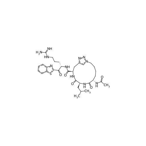 CC(=O)N[C@H]1CCCCn2cc(nn2)C[C@H](C(=O)N[C@@H](CCCNC(=N)N)C(=O)c2nc3ccccc3s2)NC(=O)[C@H](CC(C)C)NC1=O